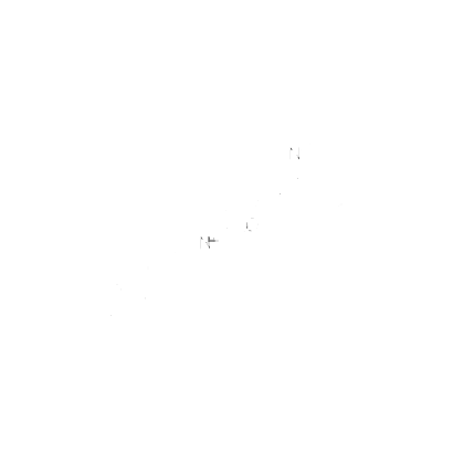 C=NCCC(CCCC)C1CCC(C=NCCCCCCC)O1